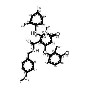 COc1ccc(CNC(=O)c2c(Oc3cccc(Cl)c3C)cc(=O)n(C)c2Nc2ccc(I)cc2F)cc1